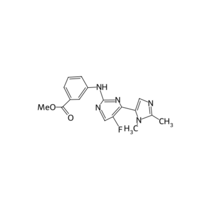 COC(=O)c1cccc(Nc2ncc(F)c(-c3cnc(C)n3C)n2)c1